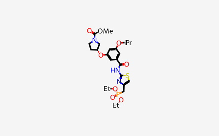 CCOP(=O)(Cc1csc(NC(=O)c2cc(OC(C)C)cc(O[C@H]3CCN(C(=O)OC)C3)c2)n1)OCC